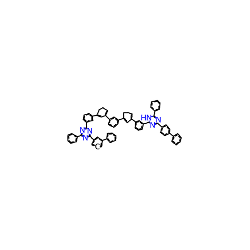 C1=C(c2cccc(C3=CC(c4cccc(C5N=C(c6ccc(-c7ccccc7)cc6)N=C(c6ccccc6)N5)c4)=CCC3)c2)C=C(c2cccc(-c3nc(-c4ccccc4)nc(-c4cccc(-c5ccccc5)c4)n3)c2)CC1